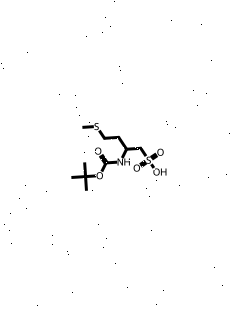 CSCCC(CS(=O)(=O)O)NC(=O)OC(C)(C)C